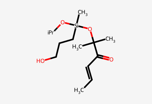 CC=CC(=O)C(C)(C)O[Si](C)(CCCO)OC(C)C